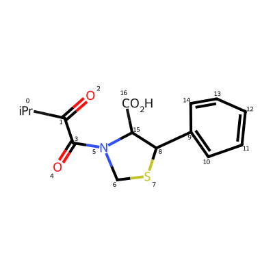 CC(C)C(=O)C(=O)N1CSC(c2ccccc2)C1C(=O)O